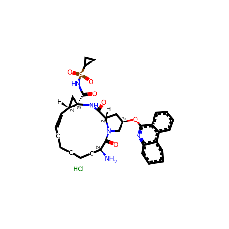 Cl.N[C@H]1CCCCCC=C[C@@H]2C[C@@]2(C(=O)NS(=O)(=O)C2CC2)NC(=O)[C@@H]2C[C@@H](Oc3nc4ccccc4c4ccccc34)CN2C1=O